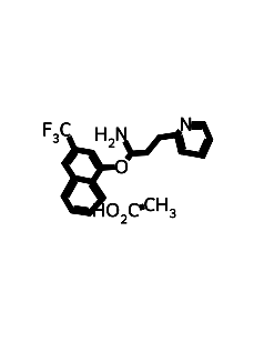 CC(=O)O.NC(CCc1ccccn1)Oc1cc(C(F)(F)F)cc2ccccc12